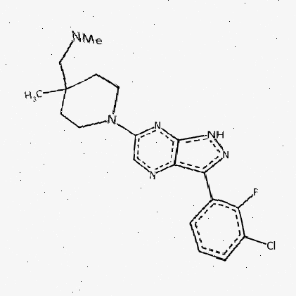 CNCC1(C)CCN(c2cnc3c(-c4cccc(Cl)c4F)n[nH]c3n2)CC1